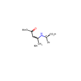 COC(=O)C=C(C)N[C@@H](C(=O)O)C(C)C.[KH]